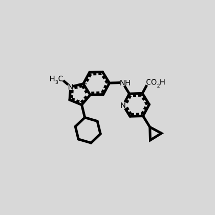 Cn1cc(C2CCCCC2)c2cc(Nc3ncc(C4CC4)cc3C(=O)O)ccc21